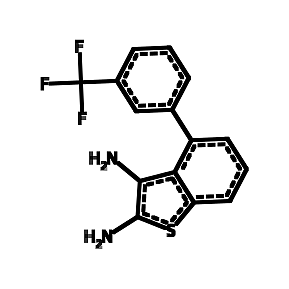 Nc1sc2cccc(-c3cccc(C(F)(F)F)c3)c2c1N